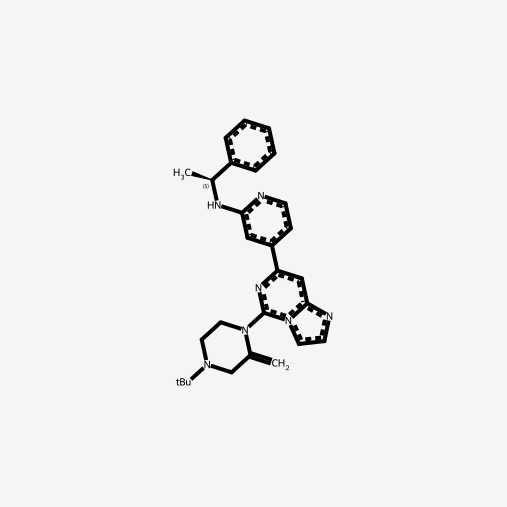 C=C1CN(C(C)(C)C)CCN1c1nc(-c2ccnc(N[C@@H](C)c3ccccc3)c2)cc2nccn12